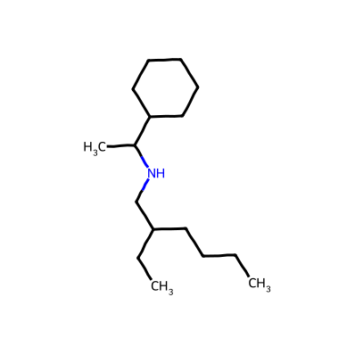 CCCCC(CC)CNC(C)C1CCCCC1